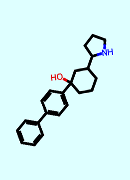 OC1(c2ccc(-c3ccccc3)cc2)CCCC(C2CCCN2)C1